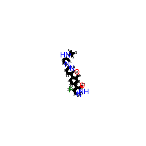 CC(C)(C)NC1CCN(c2ccc3c(n2)OCc2cc(-c4c(F)cn[nH]c4=O)ccc2-3)C1